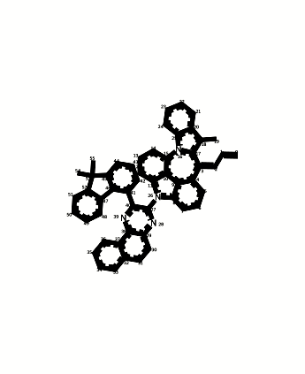 C=C/C=c1/c2cccc3c2c2c(cccc2n2c1c(C)c1ccccc12)n3-c1nc2ccc3ccccc3c2nc1-c1cccc2c1-c1ccccc1C2(C)C